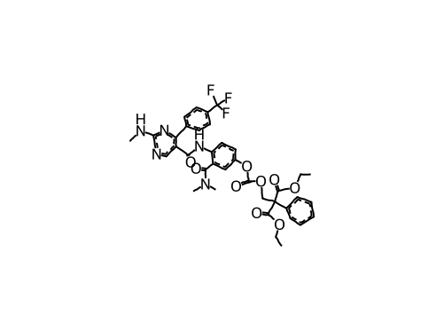 CCOC(=O)C(COC(=O)Oc1ccc(NC(=O)c2cnc(NC)nc2-c2ccc(C(F)(F)F)cc2)c(C(=O)N(C)C)c1)(C(=O)OCC)c1ccccc1